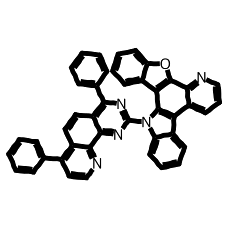 c1ccc(-c2ccnc3c2ccc2c(-c4ccccc4)nc(-n4c5ccccc5c5c6cccnc6c6oc7ccccc7c6c54)nc23)cc1